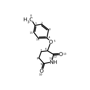 Cc1ccc(OC2CCC(=O)NC2=O)cc1